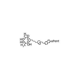 C=C(CO)C(=O)OCC(CCCCC1CCC(CCc2ccc3cc(CCCCC)ccc3c2)OC1)COC(O)C(=C)CO